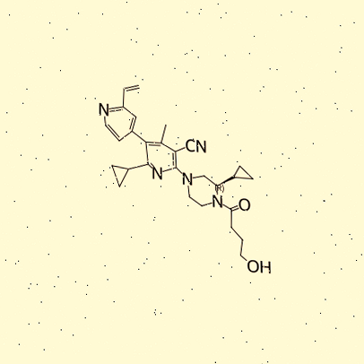 C=Cc1cc(-c2c(C3CC3)nc(N3CCN(C(=O)CCCO)[C@H](C4CC4)C3)c(C#N)c2C)ccn1